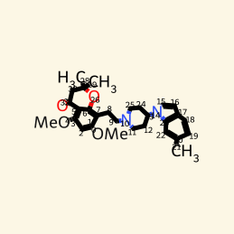 COc1cc(OC)c2c(c1CCN1CCC(n3ccc4ccc(C)cc43)CC1)OC(C)(C)CC2=O